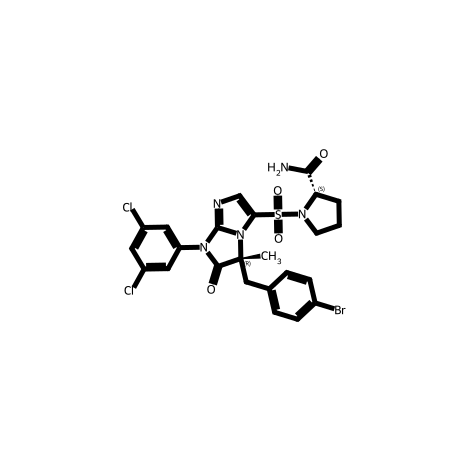 C[C@@]1(Cc2ccc(Br)cc2)C(=O)N(c2cc(Cl)cc(Cl)c2)c2ncc(S(=O)(=O)N3CCC[C@H]3C(N)=O)n21